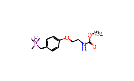 CC(C)(C)OC(=O)NCCOc1ccc(C[PH](C)(C)C)cc1